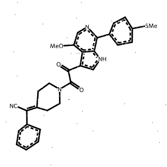 COc1cnc(-c2ccc(SC)cc2)c2[nH]cc(C(=O)C(=O)N3CCC(=C(C#N)c4ccccc4)CC3)c12